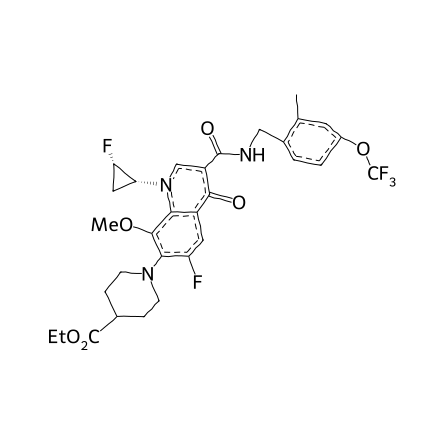 CCOC(=O)C1CCN(c2c(F)cc3c(=O)c(C(=O)NCc4ccc(OC(F)(F)F)cc4C)cn([C@@H]4C[C@@H]4F)c3c2OC)CC1